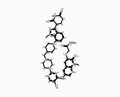 CNC(=O)COc1cc2cc(Nc3nc(N4CCN(CC5CCN(c6cccc7c(C8CCC(=O)NC8=O)nn(C)c67)CC5)CC4)ncc3Cl)cnc2n(C)c1=O